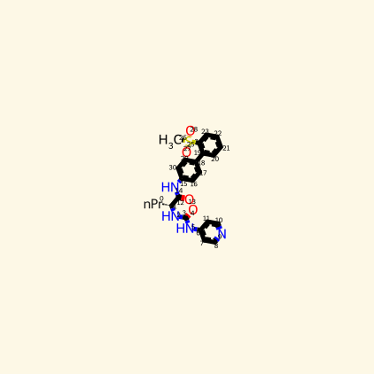 CCC[C@@H](NC(=O)Nc1ccncc1)C(=O)Nc1ccc(-c2ccccc2S(C)(=O)=O)cc1